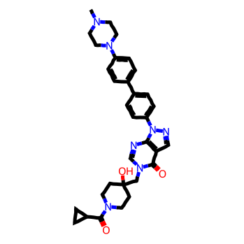 CN1CCN(c2ccc(-c3ccc(-n4ncc5c(=O)n(CC6(O)CCN(C(=O)C7CC7)CC6)cnc54)cc3)cc2)CC1